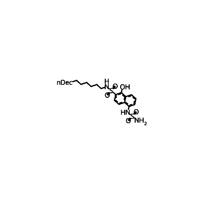 CCCCCCCCCCCCCCCCNS(=O)(=O)c1ccc2c(NS(N)(=O)=O)cccc2c1O